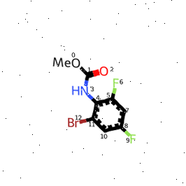 COC(=O)Nc1c(F)cc(F)cc1Br